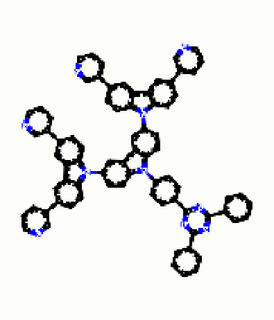 c1ccc(-c2nc(-c3ccccc3)nc(-c3ccc(-n4c5ccc(-n6c7ccc(-c8cccnc8)cc7c7cc(-c8cccnc8)ccc76)cc5c5cc(-n6c7ccc(-c8cccnc8)cc7c7cc(-c8cccnc8)ccc76)ccc54)cc3)n2)cc1